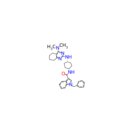 CN(C)c1nc(N[C@H]2CC[C@@H](NC(=O)c3cn(Cc4ccccc4)c4ccccc34)CC2)nc2c1CCCC2